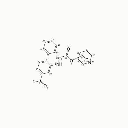 CC(=O)c1cccc(N[C@@H](C(=O)OC2CN3CCC2CC3)c2ccccc2)c1